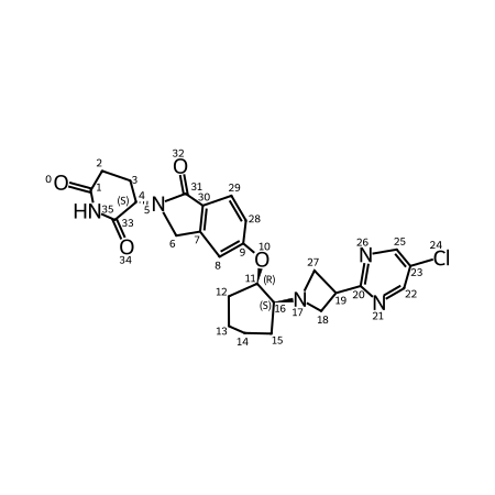 O=C1CC[C@H](N2Cc3cc(O[C@@H]4CCCC[C@@H]4N4CC(c5ncc(Cl)cn5)C4)ccc3C2=O)C(=O)N1